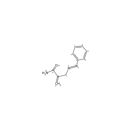 C=C(CN=Nc1ccccc1)C(N)=O